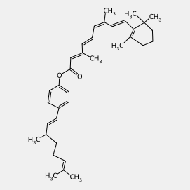 CC(C)=CCCC(C)/C=C/c1ccc(OC(=O)/C=C(C)/C=C/C=C(C)\C=C\C2=C(C)CCCC2(C)C)cc1